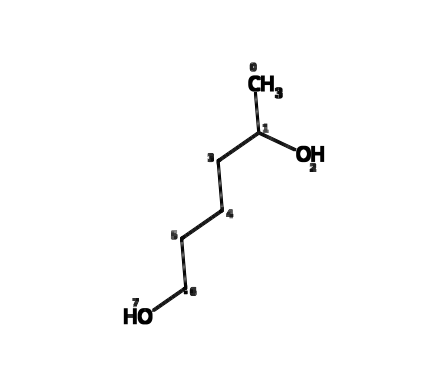 CC(O)CCC[CH]O